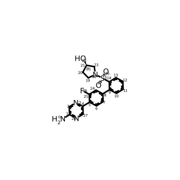 Nc1cnc(-c2ccc(-c3ccccc3S(=O)(=O)N3CC[C@@H](O)C3)cc2F)cn1